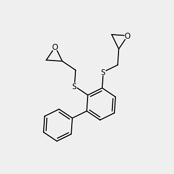 c1ccc(-c2cccc(SCC3CO3)c2SCC2CO2)cc1